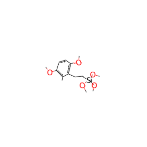 COc1ccc(OC)c(CC[Si](OC)(OC)OC)c1C